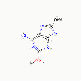 CCOc1nc(N)c2nc(OC)[nH]c2n1